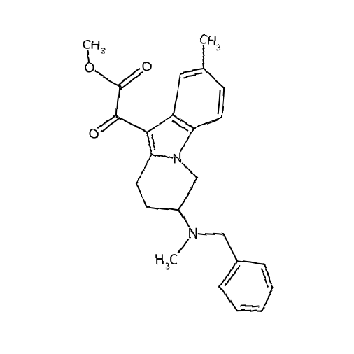 COC(=O)C(=O)c1c2n(c3ccc(C)cc13)CC(N(C)Cc1ccccc1)CC2